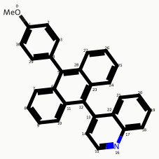 COc1ccc(-c2c3ccccc3c(-c3ccnc4ccccc34)c3ccccc23)cc1